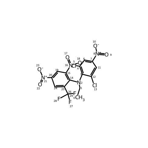 CCN(c1c(Cl)cc([N+](=O)[O-])cc1Cl)c1c([N+](=O)[O-])cc([N+](=O)[O-])cc1C(F)(F)F